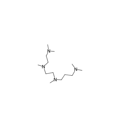 CN(C)CCCN(C)CCN(C)CCN(C)C